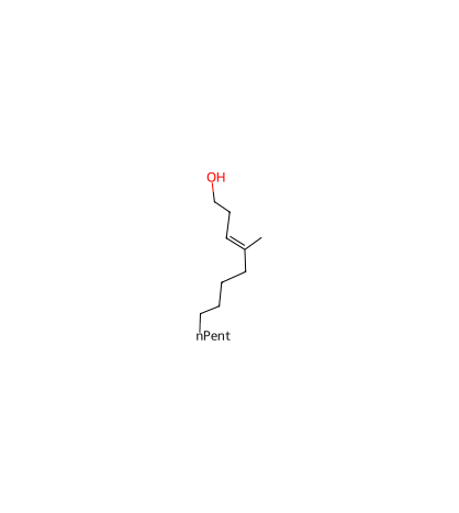 CCCCCCCCCC(C)=CCCO